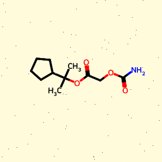 CC(C)(OC(=O)COC(N)=O)C1CCCC1